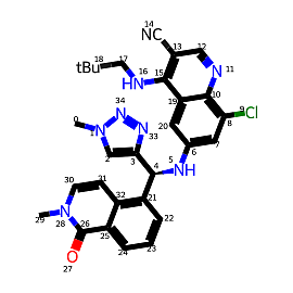 Cn1cc([C@@H](Nc2cc(Cl)c3ncc(C#N)c(NCC(C)(C)C)c3c2)c2cccc3c(=O)n(C)ccc23)nn1